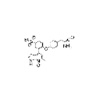 CCS(=O)(=O)c1ccc(Oc2ccc(CC(N)=C=O)cc2)c(-c2cc(C)[n+]([O-])c3[nH]ccc23)c1